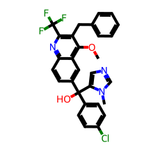 COc1c(Cc2ccccc2)c(C(F)(F)F)nc2ccc(C(O)(c3ccc(Cl)cc3)c3cncn3C)cc12